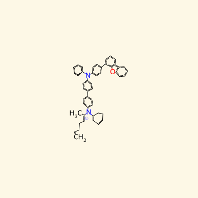 C=CCC/C=C(\C)N(C1=CC=CCC1)c1ccc(-c2ccc(N(c3ccccc3)c3ccc(-c4cccc5c4oc4ccccc45)cc3)cc2)cc1